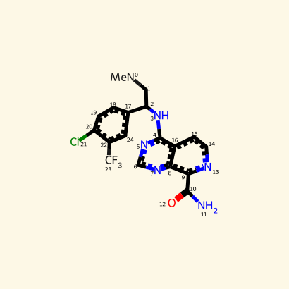 CNCC(Nc1ncnc2c(C(N)=O)nccc12)c1ccc(Cl)c(C(F)(F)F)c1